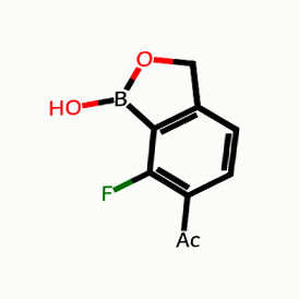 CC(=O)c1ccc2c(c1F)B(O)OC2